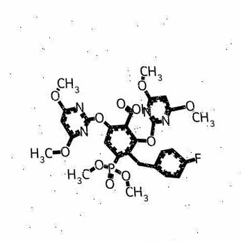 COc1cc(OC)nc(Oc2cc(P(=O)(OC)OC)c(Cc3ccc(F)cc3)c(Oc3nc(OC)cc(OC)n3)c2C(=O)O)n1